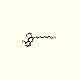 COCCCCCCOc1cc2ncnc(Cl)c2c2c1OCCO2